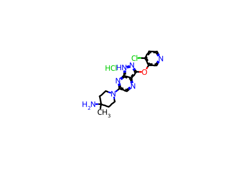 CC1(N)CCN(c2cnc3c(Oc4cnccc4Cl)n[nH]c3n2)CC1.Cl